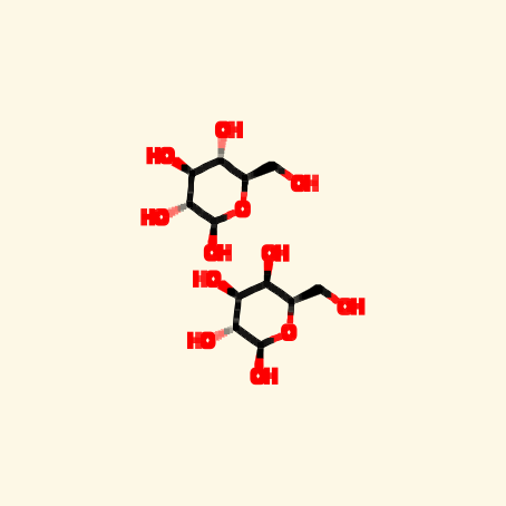 OC[C@H]1O[C@@H](O)[C@H](O)[C@@H](O)[C@@H]1O.OC[C@H]1O[C@@H](O)[C@H](O)[C@@H](O)[C@H]1O